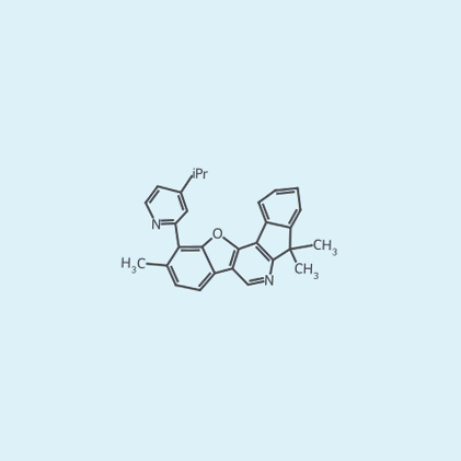 Cc1ccc2c(oc3c4c(ncc32)C(C)(C)c2ccccc2-4)c1-c1cc(C(C)C)ccn1